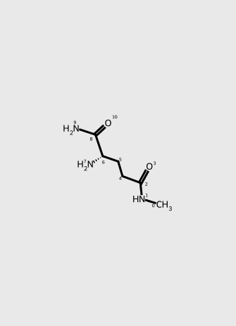 CNC(=O)CC[C@H](N)C(N)=O